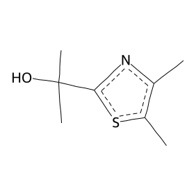 Cc1nc(C(C)(C)O)sc1C